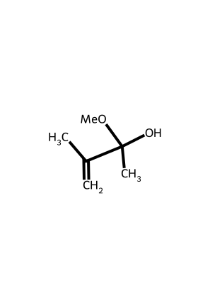 C=C(C)C(C)(O)OC